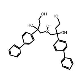 [O-][S+](CC(O)(CCO)c1ccc(-c2ccccc2)cc1)CC(O)(CCO)c1ccc(-c2ccccc2)cc1